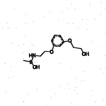 CB(O)NCCOc1cccc(OCCO)c1